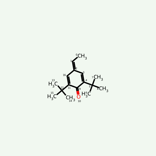 CC=C1C=C(C(C)(C)C)C(=O)C(C(C)(C)C)=C1